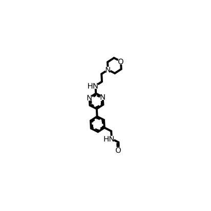 O=CNCc1cccc(-c2cnc(NCCN3CCOCC3)nc2)c1